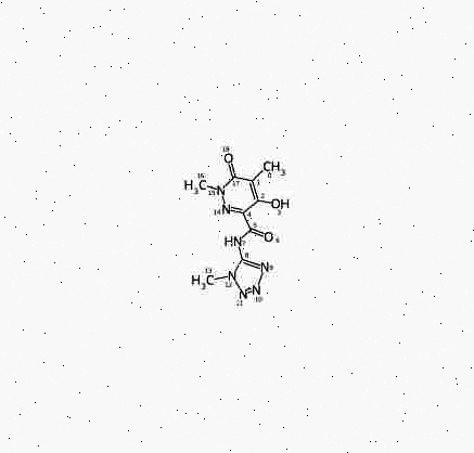 Cc1c(O)c(C(=O)Nc2nnnn2C)nn(C)c1=O